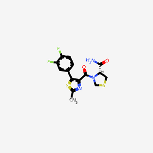 Cc1nc(C(=O)N2CSC[C@H]2C(N)=O)c(-c2ccc(F)c(F)c2)s1